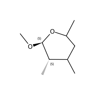 CO[C@H]1OC(C)CC(C)[C@@H]1C